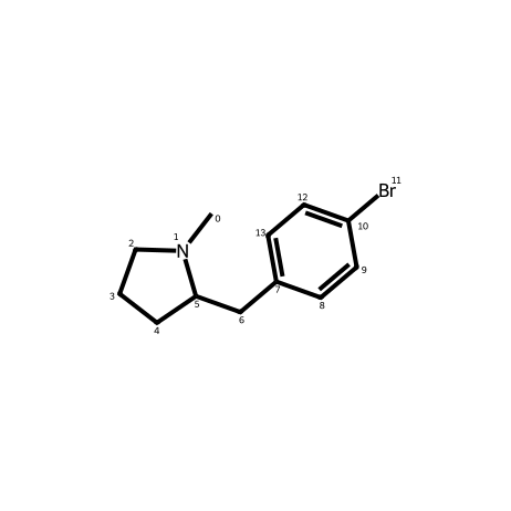 CN1CCCC1Cc1ccc(Br)cc1